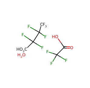 O.O=C(O)C(F)(F)C(F)(F)C(F)(F)F.O=C(O)C(F)(F)F